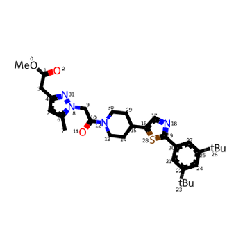 COC(=O)Cc1cc(C)n(CC(=O)N2CCC(c3cnc(-c4cc(C(C)(C)C)cc(C(C)(C)C)c4)s3)CC2)n1